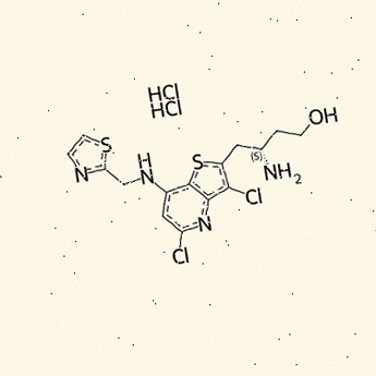 Cl.Cl.N[C@@H](CCO)Cc1sc2c(NCc3nccs3)cc(Cl)nc2c1Cl